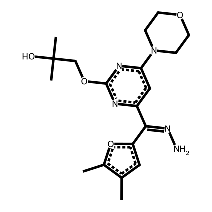 Cc1cc(C(=NN)c2cc(N3CCOCC3)nc(OCC(C)(C)O)n2)oc1C